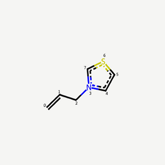 C=CC[n+]1ccsc1